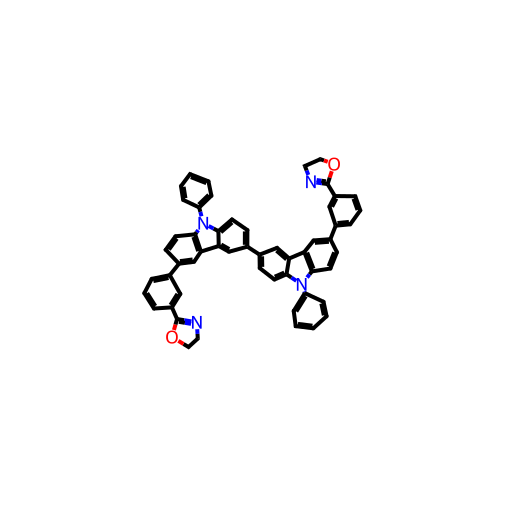 c1ccc(-n2c3ccc(-c4cccc(C5=NCCO5)c4)cc3c3cc(-c4ccc5c(c4)c4cc(-c6cccc(C7=NCCO7)c6)ccc4n5-c4ccccc4)ccc32)cc1